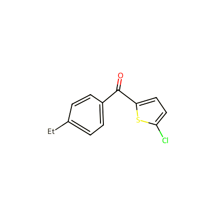 CCc1ccc(C(=O)c2ccc(Cl)s2)cc1